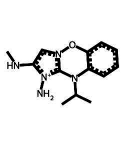 CNc1cn2c([n+]1N)N(C(C)C)c1ccccc1O2